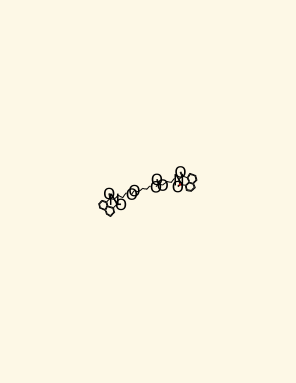 O=C(OCCCCOOCCCN1C(=O)c2cccc3cccc(c23)C1=O)OCCCN1C(=O)c2cccc3cccc(c23)C1=O